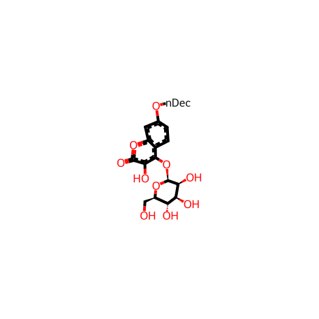 CCCCCCCCCCOc1ccc2c(O[C@@H]3O[C@H](CO)[C@@H](O)[C@H](O)[C@@H]3O)c(O)c(=O)oc2c1